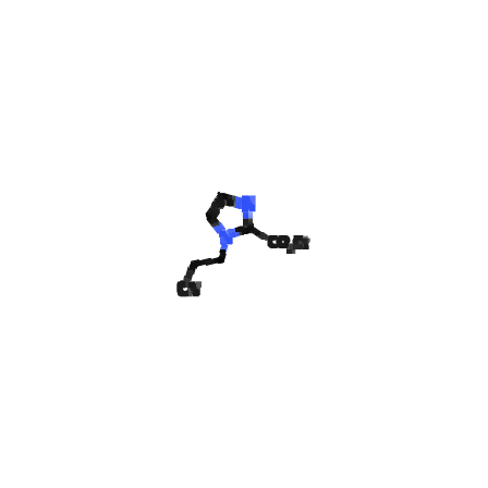 CCOC(=O)c1nccn1CCC#N